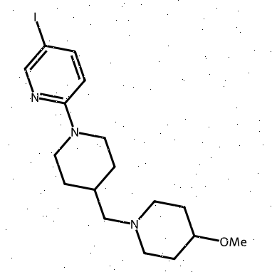 COC1CCN(CC2CCN(c3ccc(I)cn3)CC2)CC1